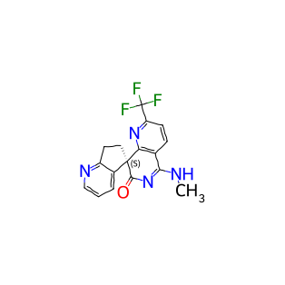 CNC1=NC(=O)[C@]2(CCc3ncccc32)c2nc(C(F)(F)F)ccc21